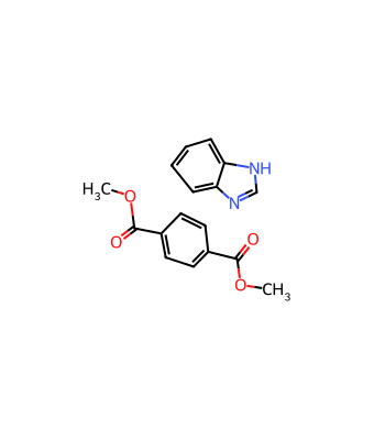 COC(=O)c1ccc(C(=O)OC)cc1.c1ccc2[nH]cnc2c1